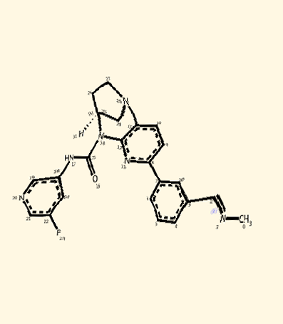 C/N=C/c1cccc(-c2ccc3c(n2)N(C(=O)Nc2cncc(F)c2)[C@H]2CCN3C2)c1